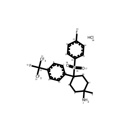 CC1(N)CCC(c2ccc(C(F)(C(F)(F)F)C(F)(F)F)cc2)(S(=O)(=O)c2ccc(F)cc2)CC1.Cl